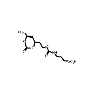 CC1=CC(CCOC(=O)NCCCS(=O)(=O)O)OC(=O)O1